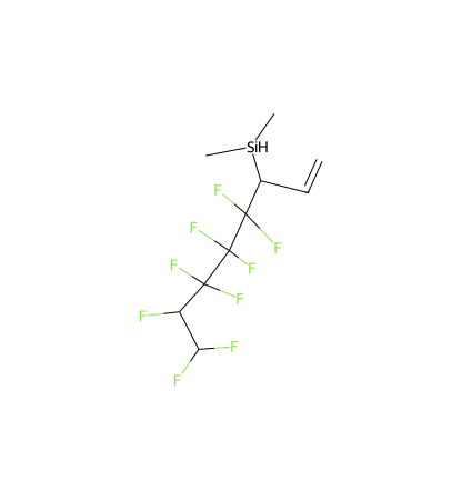 C=CC([SiH](C)C)C(F)(F)C(F)(F)C(F)(F)C(F)C(F)F